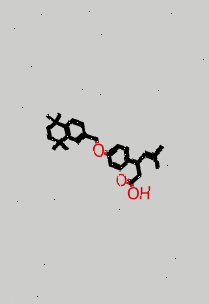 CC(C)=CC(CC(=O)O)c1ccc(OCc2ccc3c(c2)C(C)(C)CCC3(C)C)cc1